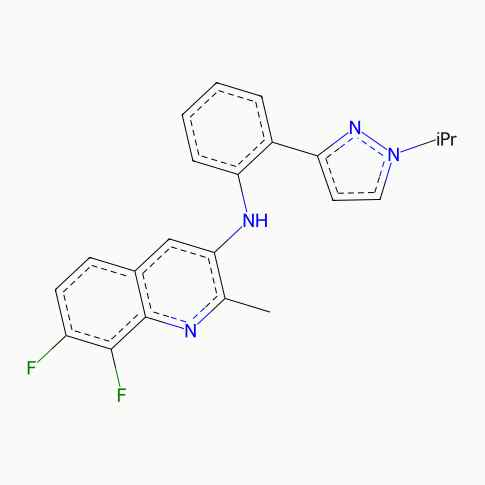 Cc1nc2c(F)c(F)ccc2cc1Nc1ccccc1-c1ccn(C(C)C)n1